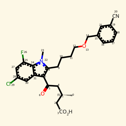 C[C@H](CC(=O)O)CC(=O)c1c(CCCCOCc2cccc(C#N)c2)n(C)c2c(F)cc(Cl)cc12